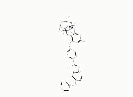 Cc1cc(Nc2ccc3nc(-c4ccc(Nc5cc(C)nc6ccc([C@@]78C[C@@H]9CC[C@H]([C@@H]7C8)N9C)cc56)cn4)[nH]c3c2)ccn1